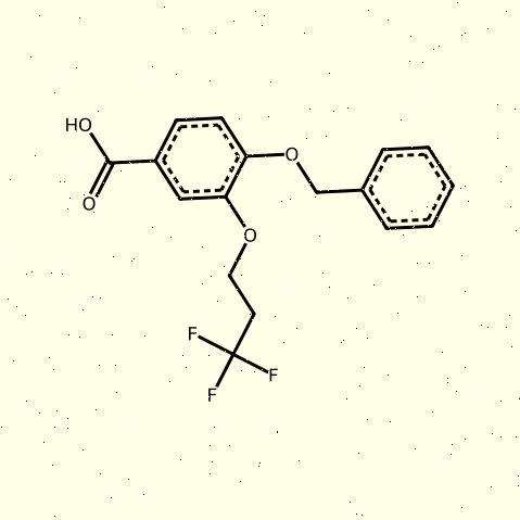 O=C(O)c1ccc(OCc2ccccc2)c(OCCC(F)(F)F)c1